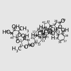 CC1O[C@H](OC2C(C)O[C@@H](O[C@H]3CC[C@@]4(C)[C@H](CC[C@@H]5[C@@H]4C[C@@H](O)[C@]4(C)[C@@H](C6=CC(=O)OC6Cc6ccccc6O)CC[C@]54O)C3)C[C@H]2O)C[C@@H](O)C1O